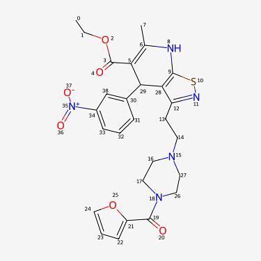 CCOC(=O)C1=C(C)Nc2snc(CCN3CCN(C(=O)c4ccco4)CC3)c2C1c1cccc([N+](=O)[O-])c1